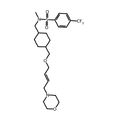 CN(CC1CCC(COCC=CCN2CCOCC2)CC1)S(=O)(=O)c1ccc(C(F)(F)F)cc1